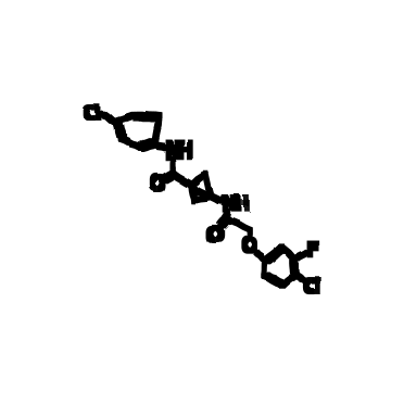 O=C(COc1ccc(Cl)c(F)c1)NC12CC(C(=O)Nc3ccc(Cl)cc3)(C1)C2